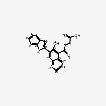 O=C(O)CNC(=O)c1c(O)c(-c2nc3ccccc3s2)cc2nccnc12